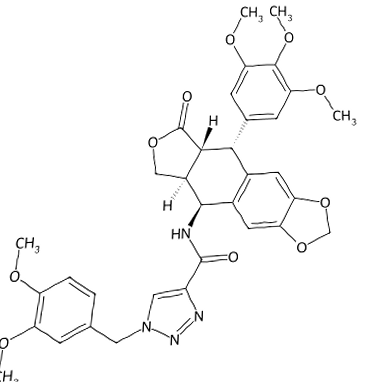 COc1ccc(Cn2cc(C(=O)N[C@@H]3c4cc5c(cc4[C@@H](c4cc(OC)c(OC)c(OC)c4)[C@H]4C(=O)OC[C@@H]43)OCO5)nn2)cc1OC